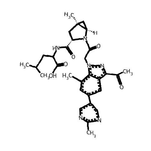 CC(=O)c1nn(CC(=O)N2[C@H](C(=O)NC(CC(C)C)C(=O)O)C[C@@]3(C)C[C@@H]23)c2c(C)cc(-c3cnc(C)nc3)cc12